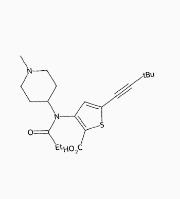 CCC(=O)N(c1cc(C#CC(C)(C)C)sc1C(=O)O)C1CCN(C)CC1